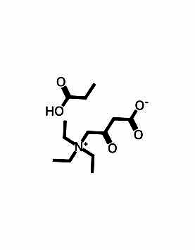 CCC(=O)O.CC[N+](CC)(CC)CC(=O)CC(=O)[O-]